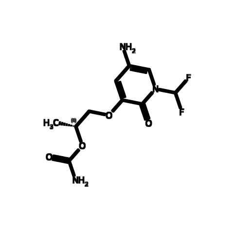 C[C@H](COc1cc(N)cn(C(F)F)c1=O)OC(N)=O